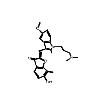 COc1ccc2c(c1)c(C=C1Oc3c(ccc(O)c3C)C1=O)c(C)n2CCCN(C)C